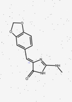 CNC1=N/C(=C\c2ccc3c(c2)OCO3)C(=O)N1